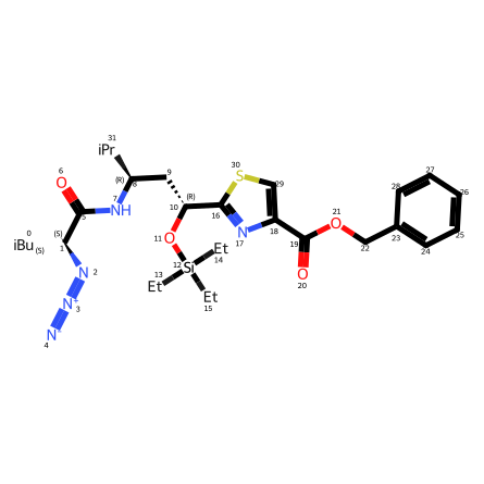 CC[C@H](C)[C@H](N=[N+]=[N-])C(=O)N[C@H](C[C@@H](O[Si](CC)(CC)CC)c1nc(C(=O)OCc2ccccc2)cs1)C(C)C